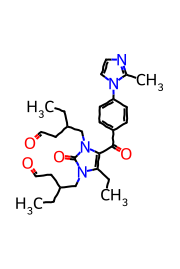 CCc1c(C(=O)c2ccc(-n3ccnc3C)cc2)n(CC(CC)CC=O)c(=O)n1CC(CC)CC=O